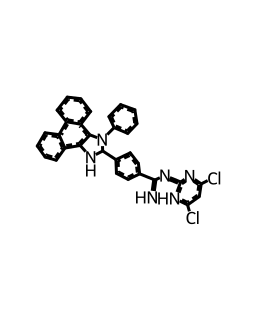 N=C(/N=c1/nc(Cl)cc(Cl)[nH]1)c1ccc(C2Nc3c(c4ccccc4c4ccccc34)N2c2ccccc2)cc1